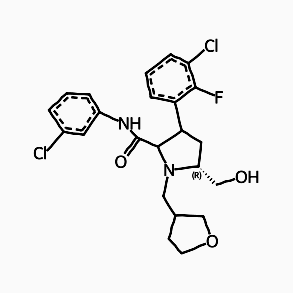 O=C(Nc1cccc(Cl)c1)C1C(c2cccc(Cl)c2F)C[C@H](CO)N1CC1CCOC1